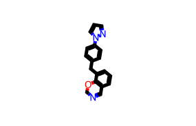 C1=NCOc2c1cccc2Cc1ccc(-n2cccn2)cc1